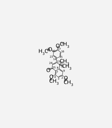 COc1cc(OC)c2c(c1)C(C)(C)C(c1ccc(OC)c(OC)c1)=CC2=O